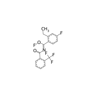 CCc1cc(F)ccc1C(=NC(=O)c1ccccc1C(F)(F)F)OF